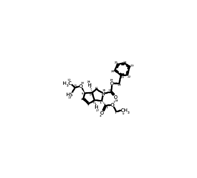 CCOC(=O)[C@@H]1[C@H]2C=C[C@@H](OC(C)S)[C@H]2CN1C(=O)OCc1ccccc1